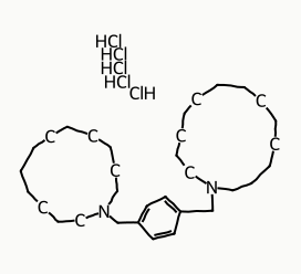 Cl.Cl.Cl.Cl.Cl.c1cc(CN2CCCCCCCCCCCC2)ccc1CN1CCCCCCCCCCCCC1